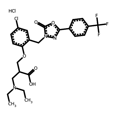 CCN(CC)CC(COc1ccc(Cl)cc1Cn1nc(-c2ccc(C(F)(F)F)cc2)oc1=O)C(=O)O.Cl